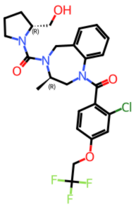 C[C@@H]1CN(C(=O)c2ccc(OCC(F)(F)F)cc2Cl)c2ccccc2CN1C(=O)N1CCC[C@@H]1CO